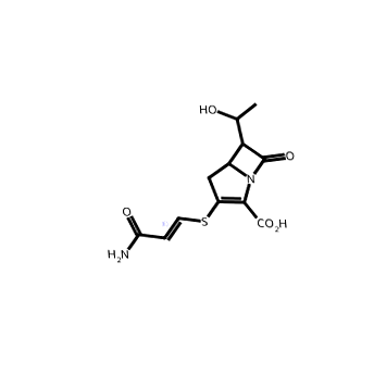 CC(O)C1C(=O)N2C(C(=O)O)=C(S/C=C/C(N)=O)CC12